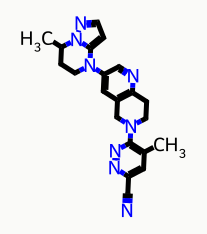 Cc1cc(C#N)nnc1N1CCc2ncc(N3CCC(C)n4nccc43)cc2C1